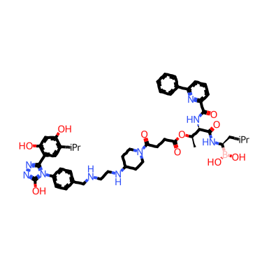 CC(C)C[C@H](NC(=O)[C@@H](NC(=O)c1cccc(-c2ccccc2)n1)[C@@H](C)OC(=O)CCC(=O)N1CCC(NCCNCc2ccc(-n3c(O)nnc3-c3cc(C(C)C)c(O)cc3O)cc2)CC1)B(O)O